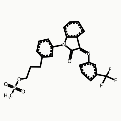 CS(=O)(=O)OCCCc1cccc(N2C(=O)C(=Nc3cccc(C(F)(F)F)c3)c3ccccc32)c1